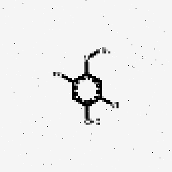 CCCCOc1cc(Cl)c(C=O)cc1Br